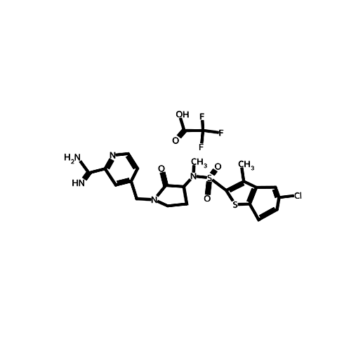 Cc1c(S(=O)(=O)N(C)C2CCN(Cc3ccnc(C(=N)N)c3)C2=O)sc2ccc(Cl)cc12.O=C(O)C(F)(F)F